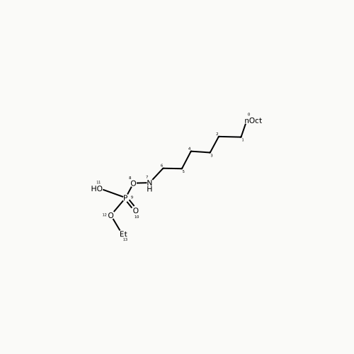 CCCCCCCCCCCCCCNOP(=O)(O)OCC